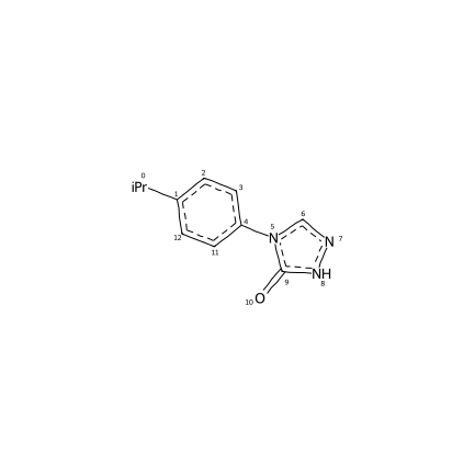 CC(C)c1ccc(-n2cn[nH]c2=O)cc1